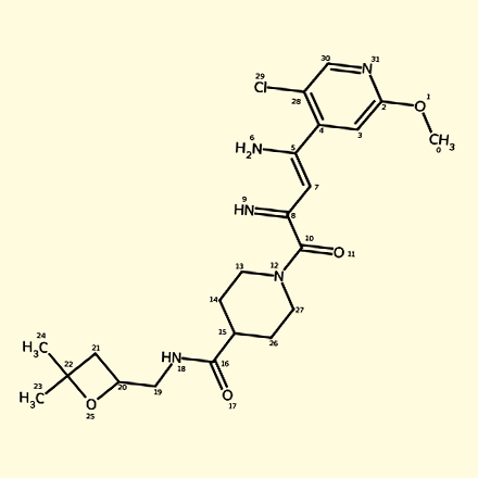 COc1cc(/C(N)=C/C(=N)C(=O)N2CCC(C(=O)NCC3CC(C)(C)O3)CC2)c(Cl)cn1